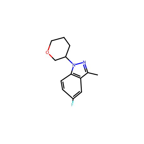 Cc1nn(C2CCCOC2)c2ccc(F)cc12